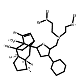 CCNCCN(CCN(CC)CC)CC1OC(C23C[C@@H]4[C@H](C)CC[C@H]4C4(C=O)CC2C=C(C(C)C)C34C(=O)O)CC1C1CCCCC1